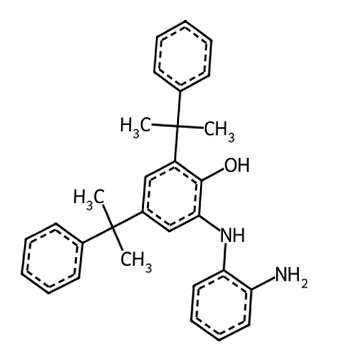 CC(C)(c1ccccc1)c1cc(Nc2ccccc2N)c(O)c(C(C)(C)c2ccccc2)c1